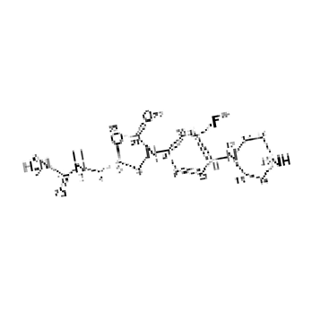 NC(=S)NC[C@H]1CN(c2ccc(N3CCNCC3)c(F)c2)C(=O)O1